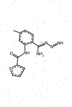 Cc1ccc(/C(N)=N/N=N)c(NC(=O)c2cccs2)c1